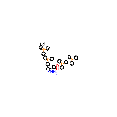 Nc1ncccc1-c1ccc(O)cc1.[Pd].c1ccc(P(c2ccccc2)c2ccccc2)cc1.c1ccc(P(c2ccccc2)c2ccccc2)cc1.c1ccc(P(c2ccccc2)c2ccccc2)cc1.c1ccc(P(c2ccccc2)c2ccccc2)cc1